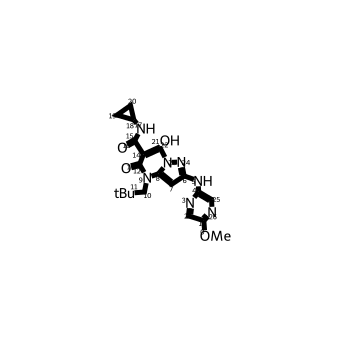 COc1cnc(Nc2cc3n(CC(C)(C)C)c(=O)c(C(=O)NC4CC4)c(O)n3n2)cn1